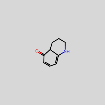 O=C1C=CC=C2NCCCC12